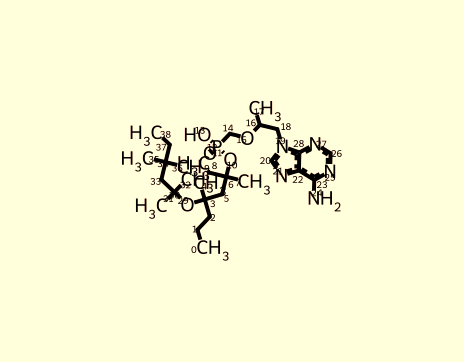 CCCC(C)(CC(C)(CC)OP(=O)(O)COC(C)Cn1cnc2c(N)ncnc21)OC(C)(C)CC(C)(C)CC